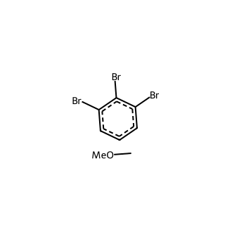 Brc1cccc(Br)c1Br.COC